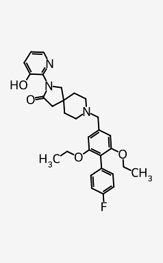 CCOc1cc(CN2CCC3(CC2)CC(=O)N(c2ncccc2O)C3)cc(OCC)c1-c1ccc(F)cc1